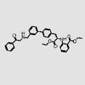 CCOC(=O)c1ccccc1NC(Cc1ccc(-c2cccc(CNCC(=O)c3ccccc3)c2)cc1)C(=O)OCC